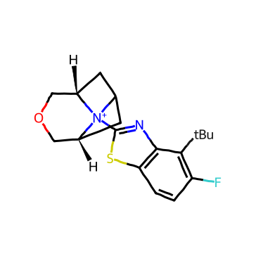 CC(C)(C)c1c(F)ccc2sc([N+]34C5C[C@H]3COC[C@H]4C5)nc12